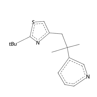 CC(C)(C)c1nc(CC(C)(C)c2cccnc2)cs1